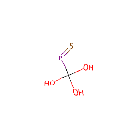 OC(O)(O)P=S